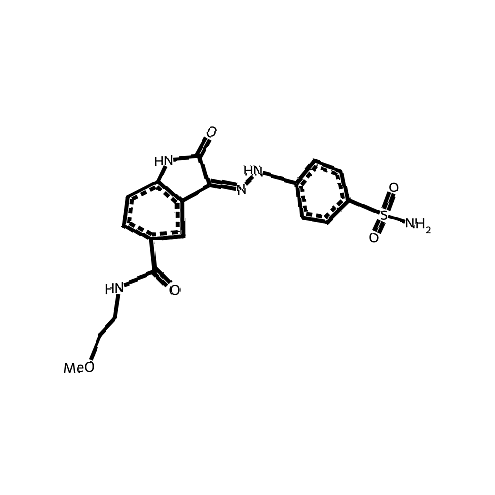 COCCNC(=O)c1ccc2c(c1)C(=NNc1ccc(S(N)(=O)=O)cc1)C(=O)N2